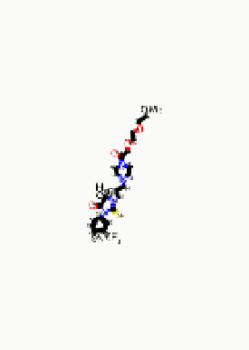 COCCOCCOCC(=O)N1CCN(CCCN2C(=S)N(c3ccc(C#N)c(C(F)(F)F)c3)C(=O)C2(C)C)CC1